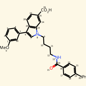 COc1cccc(-c2cn(CCCCNC(=O)c3ccc(C(C)C)cc3)c3cc(C(=O)O)ccc23)c1